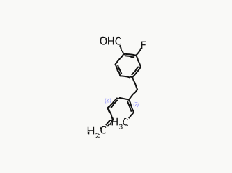 C=C/C=C\C(=C/C)Cc1ccc(C=O)c(F)c1